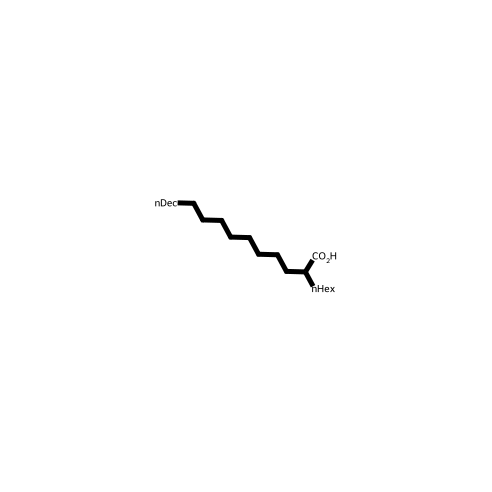 CCCCCCCCCCCCCCCCCCC(CCCCCC)C(=O)O